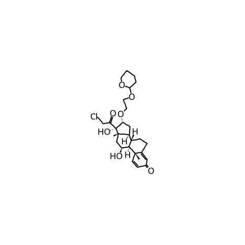 C[C@]12C=CC(=O)C=C1CC[C@@H]1[C@@H]2[C@@H](O)C[C@@]2(C)[C@H]1C[C@@H](OCCOC1CCCCO1)[C@]2(O)C(=O)CCl